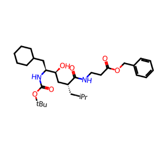 CC(C)C[C@H](C[C@H](O)[C@H](CC1CCCCC1)NC(=O)OC(C)(C)C)C(=O)NCCC(=O)OCc1ccccc1